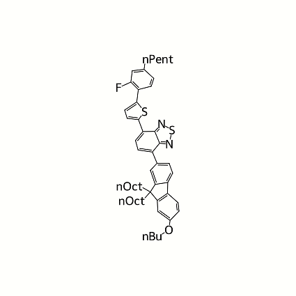 CCCCCCCCC1(CCCCCCCC)c2cc(OCCCC)ccc2-c2ccc(-c3ccc(-c4ccc(-c5ccc(CCCCC)cc5F)s4)c4nsnc34)cc21